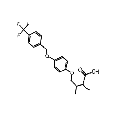 CC(COc1ccc(OCc2ccc(C(F)(F)F)cc2)cc1)C(C)C(=O)O